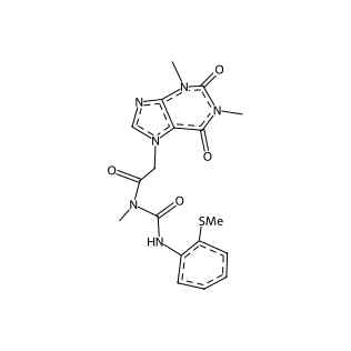 CSc1ccccc1NC(=O)N(C)C(=O)Cn1cnc2c1c(=O)n(C)c(=O)n2C